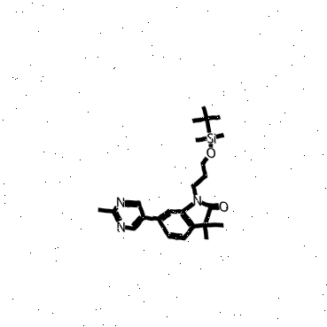 Cc1ncc(-c2ccc3c(c2)N(CCCO[Si](C)(C)C(C)(C)C)C(=O)C3(C)C)cn1